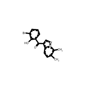 Cc1ccc2c(C(=O)c3cccc(Br)c3O)cnn2c1C